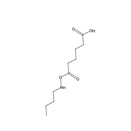 CCCCNOC(=O)CCCCC(=O)O